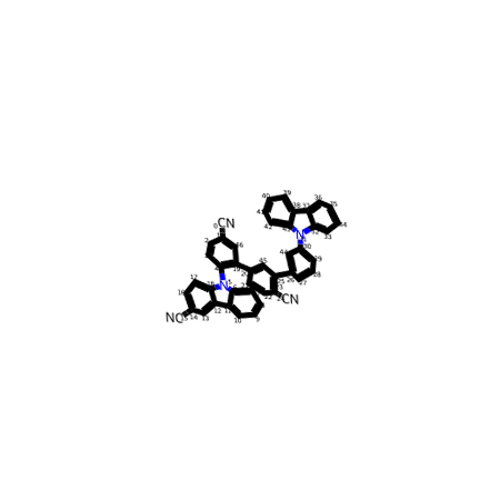 N#Cc1ccc(-n2c3ccccc3c3cc(C#N)ccc32)c(-c2ccc(C#N)c(-c3cccc(-n4c5ccccc5c5ccccc54)c3)c2)c1